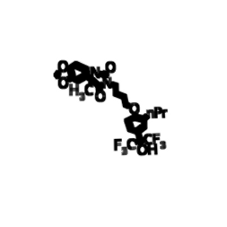 CCCc1cc(C(O)(C(F)(F)F)C(F)(F)F)ccc1OCCCCN1C(=O)NC(C)(c2ccc3c(c2)OCO3)C1=O